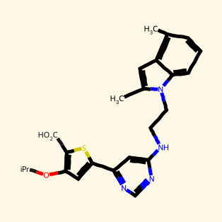 Cc1cccc2c1cc(C)n2CCNc1cc(-c2cc(OC(C)C)c(C(=O)O)s2)ncn1